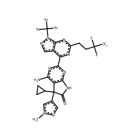 [2H]C([2H])([2H])n1ncc2c(-c3nc(N)c4c(n3)NC(=O)C4(c3cnn(C)c3)C3CC3)nc(CCC(F)(F)C(F)(F)F)nc21